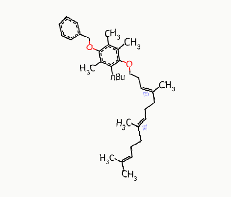 CCCCc1c(C)c(OCc2ccccc2)c(C)c(C)c1OCC/C=C(\C)CC/C=C(\C)CCC=C(C)C